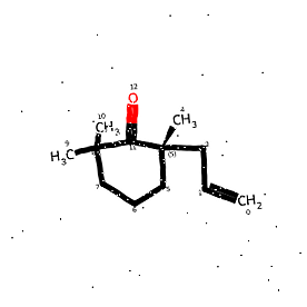 C=CC[C@]1(C)CCCC(C)(C)C1=O